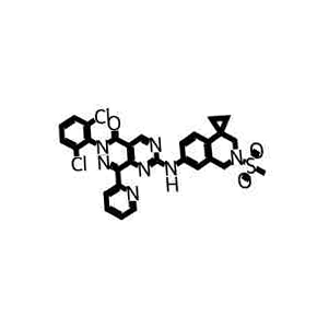 CS(=O)(=O)N1Cc2cc(Nc3ncc4c(=O)n(-c5c(Cl)cccc5Cl)nc(-c5ccccn5)c4n3)ccc2C2(CC2)C1